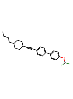 CCCCC1CCC(C#Cc2ccc(-c3ccc(OC(F)F)cc3)cc2)CC1